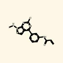 C=CC(=O)Nc1cccc(-c2nc(Cl)nc3c2cnn3PI)c1